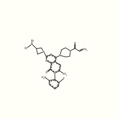 C=CC(=O)N1CCN(c2nc(N3CC(N(CC)CC)C3)nc3c(=O)n(-c4c(N)cccc4F)c(C(F)(F)F)cc23)CC1